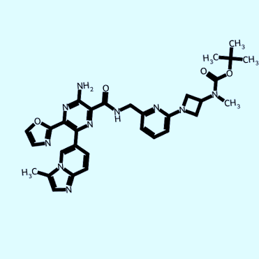 Cc1cnc2ccc(-c3nc(C(=O)NCc4cccc(N5CC(N(C)C(=O)OC(C)(C)C)C5)n4)c(N)nc3-c3ncco3)cn12